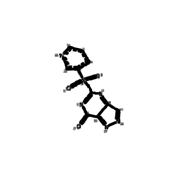 O=C1N=C(S(=O)(=O)c2cccnc2)N=C2C=NN=C12